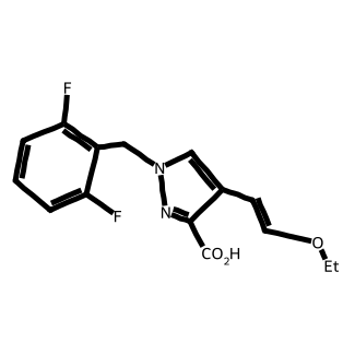 CCOC=Cc1cn(Cc2c(F)cccc2F)nc1C(=O)O